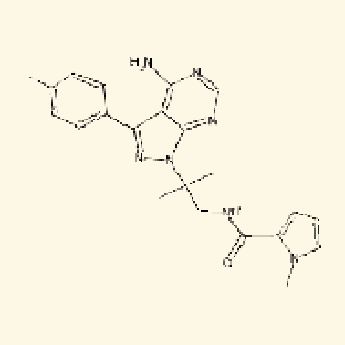 Cc1ccc(-c2nn(C(C)(C)CNC(=O)c3cccn3C)c3ncnc(N)c23)cc1